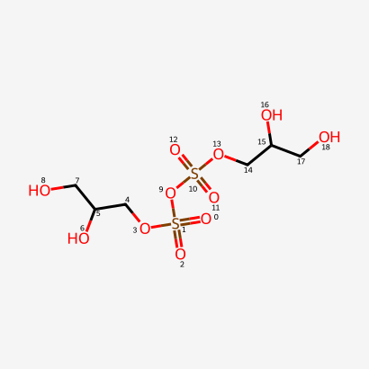 O=S(=O)(OCC(O)CO)OS(=O)(=O)OCC(O)CO